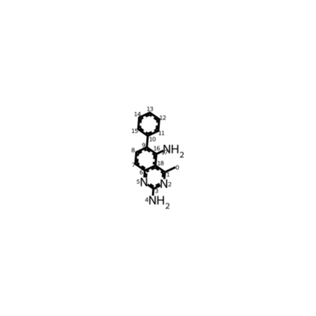 Cc1nc(N)nc2ccc(-c3ccccc3)c(N)c12